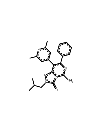 Cc1cc(-c2c(-c3ccccc3)nc(N)n3c(=O)n(CC(C)C)nc23)cc(C)n1